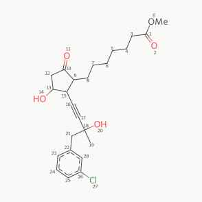 COC(=O)CCCCCCC1C(=O)CC(O)C1C#CC(C)(O)Cc1cccc(Cl)c1